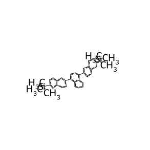 C[Si](C)(C)c1ccc2cc(-c3ccc(-c4ccc5cc([Si](C)(C)C)ccc5c4)c4ccccc34)ccc2c1